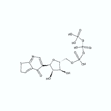 O=C1C2=CCSC2=NC=C1[C@H]1O[C@H](COP(=O)(O)OP(=O)(O)OP(=O)(O)O)[C@@H](O)[C@H]1O